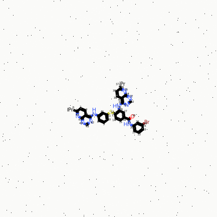 CC(C)c1ccc2c(Nc3cccc(Sc4ccc(C(=O)Nc5cccc(Br)c5)cc4Nc4ncnc5nc(C(C)C)ccc45)c3)ncnc2n1